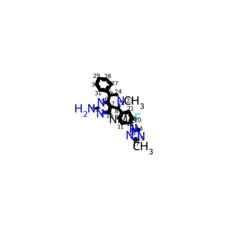 CNc1nc(N)nc2c1C(c1ccc(-n3cnc(C)n3)c(F)c1)N(C)CC2c1ccccc1